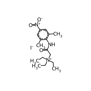 CC[N+](CC)(CC)CC(=O)Nc1c(C)cc([N+](=O)[O-])cc1C.[I-]